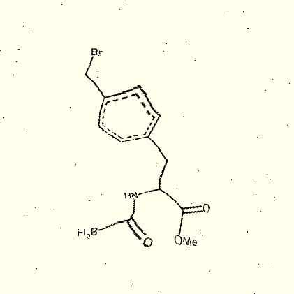 BC(=O)NC(Cc1ccc(CBr)cc1)C(=O)OC